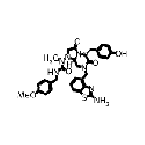 COC1C=CC(CNC(=O)N(C)N2CC(=O)N3[C@@H](Cc4ccc(O)cc4)C(=O)N(Cc4cccc5sc(N)nc45)C[C@@H]32)=CC1